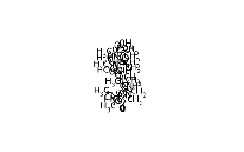 C=C(C(=O)N[C@@H](C)C(=O)N(C)[C@@H](C)C(=O)N[C@H](C(=O)N(C)[C@H](C(=O)O)[C@@H](C)OC)[C@H](OC(=O)[C@@H](NC(=O)CC)[C@H](OP(=O)(O)O)C(C)C)C(C)C)N(C)C(=O)[C@@H](Cc1ccccc1)OC(=O)[C@H](CC(C)C)NC(C)=O